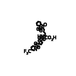 O=C(O)[C@@H](CCCN1C(=O)c2ccccc2S1(=O)=O)NS(=O)(=O)c1ccc(S(=O)(=O)c2ccc(C(F)(F)F)cn2)s1